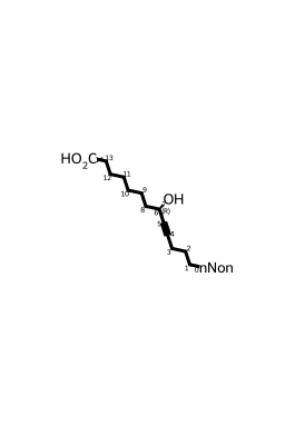 CCCCCCCCCCCCC#C[C@H](O)CCCCCCC(=O)O